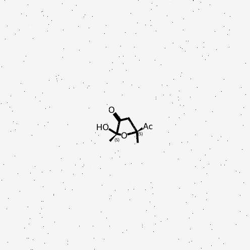 CC(=O)[C@]1(C)CC(=O)[C@@](C)(O)O1